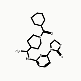 CC(Nc1nccc(N2CCOC2=O)n1)C1CCN(C(=O)C2CCCCC2)CC1